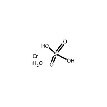 O.O=S(=O)(O)O.[Cr]